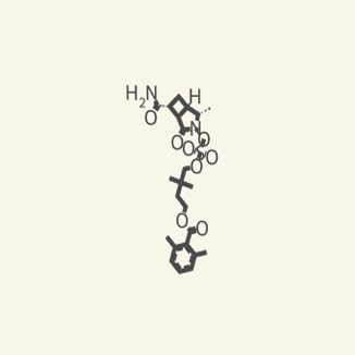 Cc1cccc(C)c1C(=O)OCCC(C)(C)COS(=O)(=O)ON1C(=O)C2[C@@H](C[C@H]2C(N)=O)[C@@H]1C